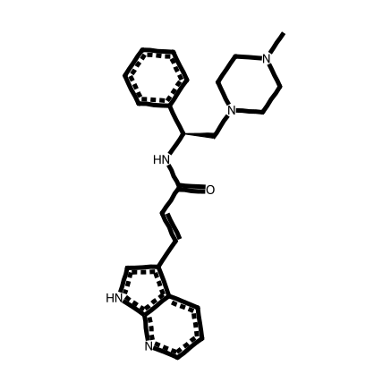 CN1CCN(C[C@@H](NC(=O)C=Cc2c[nH]c3ncccc23)c2ccccc2)CC1